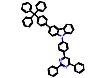 c1ccc(-c2cc(-c3ccc(-n4c5ccccc5c5cc(-c6ccc(C(c7ccccc7)(c7ccccc7)c7ccccc7)cc6)ccc54)cc3)nc(-c3ccccc3)n2)cc1